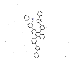 C(=C/c1cccc(-c2ccc3c(-c4cccc(-c5ccc(-c6ccccc6)s5)c4)c4ccccc4c(-c4cccc(-c5ccc(-c6ccccc6)s5)c4)c3c2)c1)/c1ccccc1